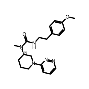 COc1ccc(CCNC(=O)N(C)[C@@H]2CCCN(c3cccnn3)C2)cc1